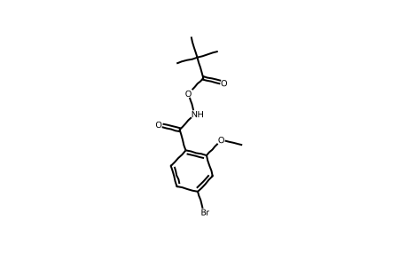 COc1cc(Br)ccc1C(=O)NOC(=O)C(C)(C)C